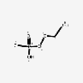 CC(C)(C)COOP(=O)(O)Cl